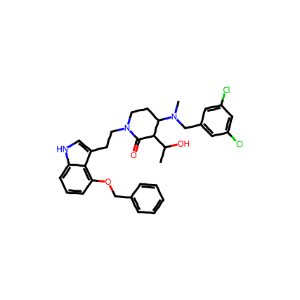 CC(O)C1C(=O)N(CCc2c[nH]c3cccc(OCc4ccccc4)c23)CCC1N(C)Cc1cc(Cl)cc(Cl)c1